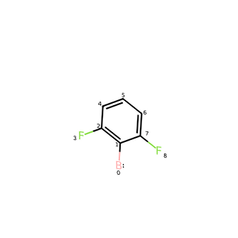 [B]c1c(F)cccc1F